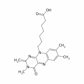 C=c1nc2c(c(=O)n1C)=Nc1cc(C)c(C)cc1N2CCCCCCC(=O)O